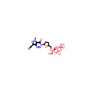 Cn1nc(C#N)c2nnn(C3[CH][CH]C(COP(=O)(O)OP(=O)(O)OP(=O)(O)O)O3)c(=O)c21